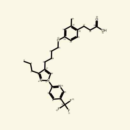 CCCc1nn(-c2ccc(C(F)(F)F)cn2)cc1CCCCOc1ccc(CCC(=O)O)c(C)c1